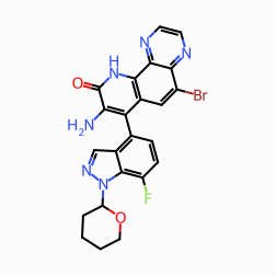 Nc1c(-c2ccc(F)c3c2cnn3C2CCCCO2)c2cc(Br)c3nccnc3c2[nH]c1=O